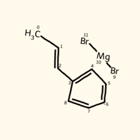 CC=Cc1cc[c]cc1.[Br][Mg][Br]